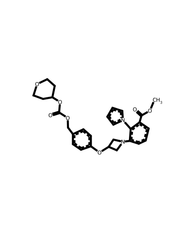 COC(=O)c1cccc(N2CC(Oc3ccc(COC(=O)OC4CCOCC4)cc3)C2)c1-n1cccc1